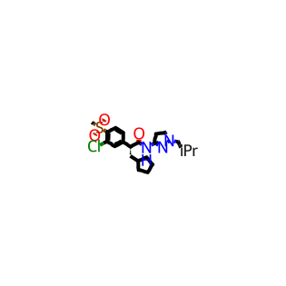 CC(C)CN1CCC(NC(=O)[C@H](CC2CCCC2)c2ccc(S(C)(=O)=O)c(Cl)c2)=N1